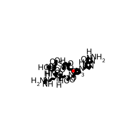 CCCN1C(=O)CC(SC[C@H](NC(=O)[C@H](CC(=O)O)NC(=O)[C@H](CCCNC(=N)N)NC(=O)CC[C@H](NC(=O)c2ccc(NCc3cnc4nc(N)[nH]c(=O)c4n3)cc2)C(=O)O)C(=O)O)C1=O